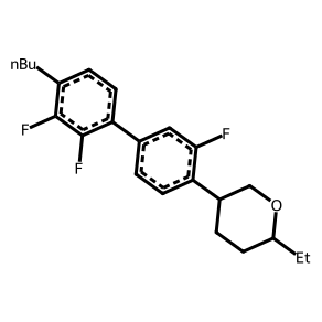 CCCCc1ccc(-c2ccc(C3CCC(CC)OC3)c(F)c2)c(F)c1F